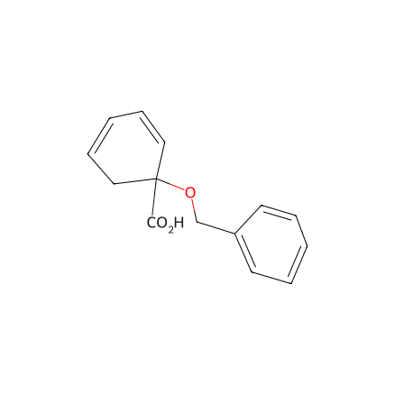 O=C(O)C1(OCc2ccccc2)C=CC=CC1